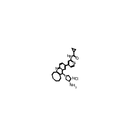 Cl.N[C@H]1CCN(c2c3c(nc4ccc(-c5ccnc(NC(=O)C6CC6)c5)cc24)CCCCCC3)C1